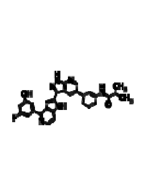 CC(C)C(=O)Nc1cccc(-c2cnc3[nH]nc(-c4cc5c(-c6cc(O)cc(F)c6)nccc5[nH]4)c3c2)c1